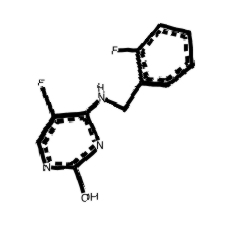 Oc1ncc(F)c(NCc2ccccc2F)n1